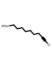 CCCCCCCCCCCCC#C[O]